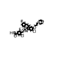 CC1(c2ccc(Cl)c(OCCCN3CCOCC3)c2)Cc2cc(F)ccc2N2C(SCc3c(F)cc(C(=O)O)cc3Cl)=NCC21